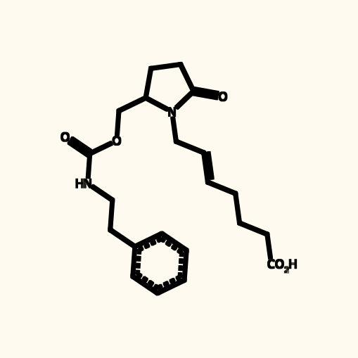 O=C(O)CCCC=CCN1C(=O)CCC1COC(=O)NCCc1ccccc1